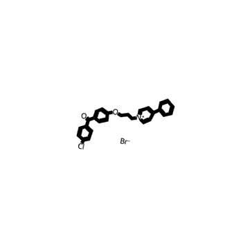 O=C(c1ccc(Cl)cc1)c1ccc(OCCC[n+]2ccc(-c3ccccc3)cc2)cc1.[Br-]